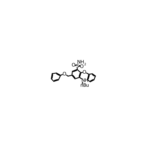 CCCCNc1cc(COc2ccccc2)cc(S(N)(=O)=O)c1Oc1ccccc1